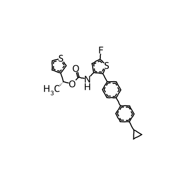 C[C@@H](OC(=O)Nc1cc(F)sc1-c1ccc(-c2ccc(C3CC3)cc2)cc1)c1ccsc1